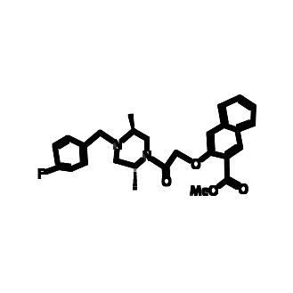 COC(=O)c1cc2ccccc2cc1OCC(=O)N1C[C@H](C)N(Cc2ccc(F)cc2)C[C@H]1C